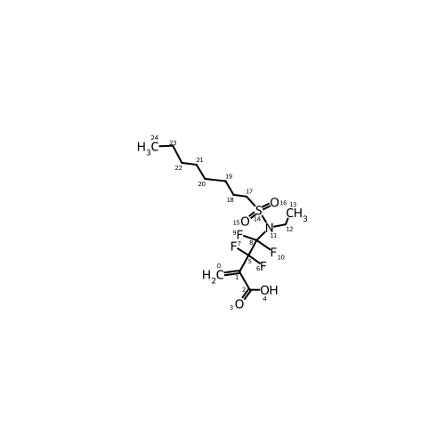 C=C(C(=O)O)C(F)(F)C(F)(F)N(CC)S(=O)(=O)CCCCCCCC